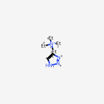 CC[N+](CC)(CC)CC.c1c[nH]nn1